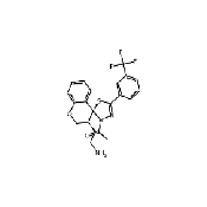 CC(=O)N1N=C(c2cccc(C(F)(F)F)c2)S[C@@]12c1ccccc1OC[C@@H]2CCN